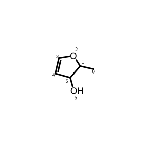 CC1OC=CC1O